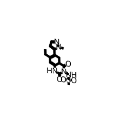 CCC1=C(c2ccnn2C)CC2C(=O)N(NS(C)(=O)=O)C(=O)NC2=C1